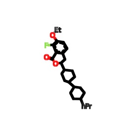 CCCC1CCC(C2CCC(C3Cc4ccc(OCC)c(F)c4C(=O)O3)CC2)CC1